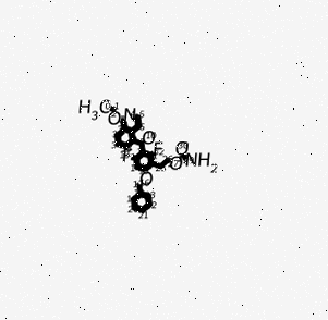 CCOc1nccc2c(C(=O)c3c(F)cc(OCc4ccccc4)c(CCOC(N)=O)c3F)cccc12